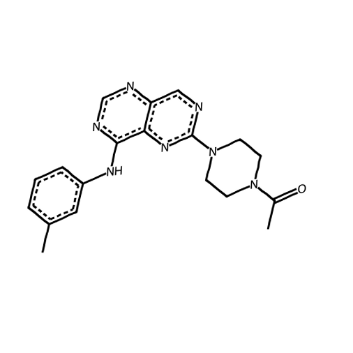 CC(=O)N1CCN(c2ncc3ncnc(Nc4cccc(C)c4)c3n2)CC1